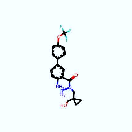 Nc1ccc(-c2ccc(OC(F)(F)F)cc2)cc1C(=O)N(N)CC1(CO)CC1